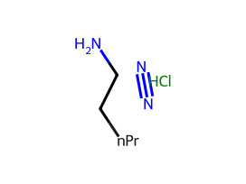 CCCCCN.Cl.N#N